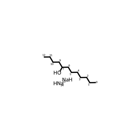 CCCCCCCC(O)CCCC.[NaH].[NaH]